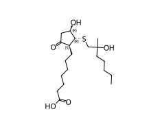 CCCCCC(C)(O)CS[C@H]1[C@H](O)CC(=O)[C@@H]1CCCCCCC(=O)O